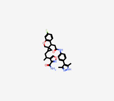 Cc1n[nH]c(C)c1-c1ccc(NC(=O)CC2c3ccc(F)cc3OCC23CC3CC(C)c2conc2C(N)=O)cc1